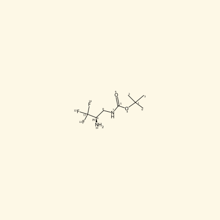 CC(C)(C)OC(=O)NC[C@@H](N)C(F)(F)F